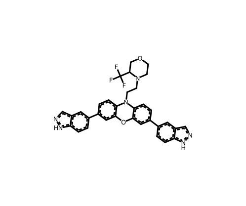 FC(F)(F)C1COCCN1CCN1c2ccc(-c3ccc4[nH]ncc4c3)cc2Oc2cc(-c3ccc4[nH]ncc4c3)ccc21